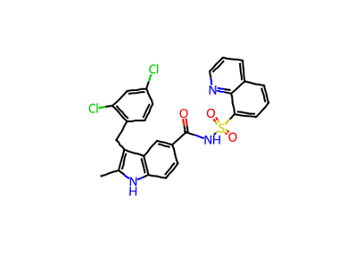 Cc1[nH]c2ccc(C(=O)NS(=O)(=O)c3cccc4cccnc34)cc2c1Cc1ccc(Cl)cc1Cl